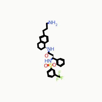 NCCCc1ccc2c(c1)CCC[C@H]2NC(=O)C[C@@H](NS(=O)(=O)c1cccc(C(F)(F)F)c1)c1ccccc1